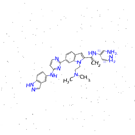 C=C(NC(/C=C\N)=C/N)c1cc2ccc(-c3nccc(Nc4ccc5[nH]ncc5c4)n3)cc2n1CCN(C)C